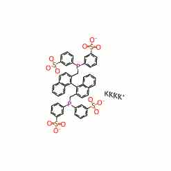 O=S(=O)([O-])c1cccc(P(Cc2ccc3ccccc3c2-c2c(CP(c3cccc(S(=O)(=O)[O-])c3)c3cccc(S(=O)(=O)[O-])c3)ccc3ccccc23)c2cccc(S(=O)(=O)[O-])c2)c1.[K+].[K+].[K+].[K+]